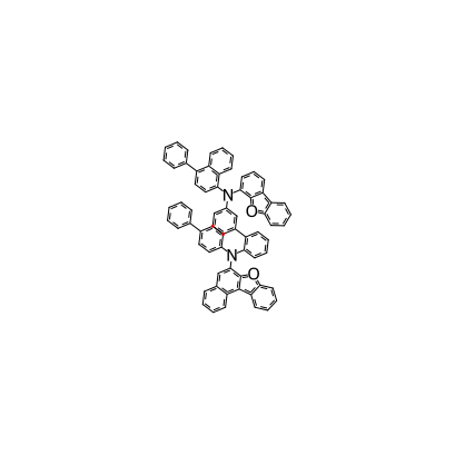 c1ccc(-c2ccc(N(c3ccccc3-c3cccc(N(c4ccc(-c5ccccc5)c5ccccc45)c4cccc5c4oc4ccccc45)c3)c3cc4ccccc4c4c3oc3ccccc34)cc2)cc1